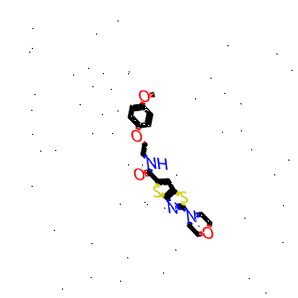 COc1ccc(OCCNC(=O)c2cc3sc(N4CCOCC4)nc3s2)cc1